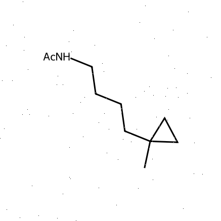 CC(=O)NCCCCC1(C)CC1